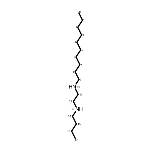 CCCCCCCCCCNCCNCCCC